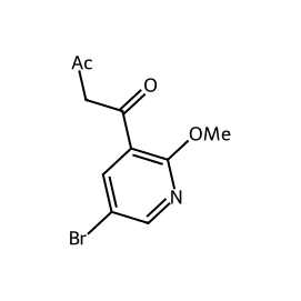 COc1ncc(Br)cc1C(=O)CC(C)=O